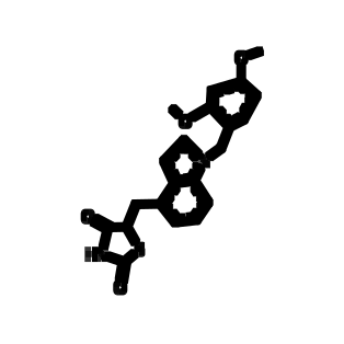 COc1ccc(Cn2ccc3c(CC4SC(=O)NC4=O)cccc32)c(OC)c1